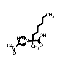 CCCCCC[C@](C)(C(=O)O)n1cnc([N+](=O)[O-])c1